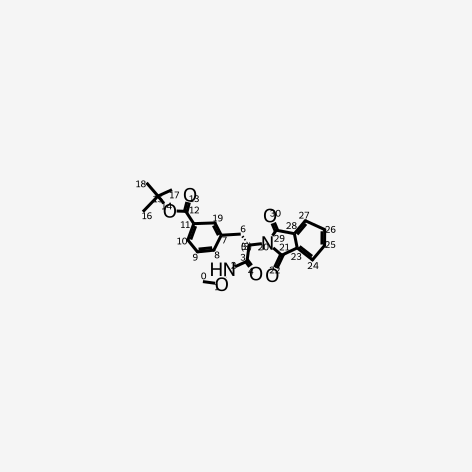 CONC(=O)[C@H](Cc1cccc(C(=O)OC(C)(C)C)c1)N1C(=O)c2ccccc2C1=O